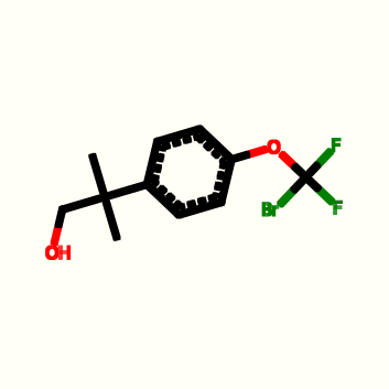 CC(C)(CO)c1ccc(OC(F)(F)Br)cc1